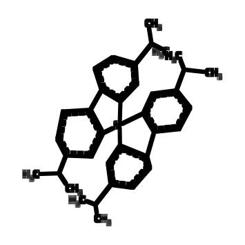 CC(C)c1ccc2c(c1)[Si]1(c3cc(C(C)C)ccc3-2)c2cc(C(C)C)ccc2-c2ccc(C(C)C)cc21